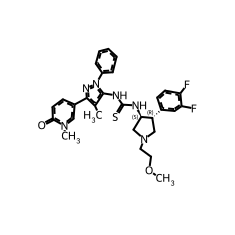 COCCN1C[C@@H](NC(=S)Nc2c(C)c(-c3ccc(=O)n(C)c3)nn2-c2ccccc2)[C@H](c2ccc(F)c(F)c2)C1